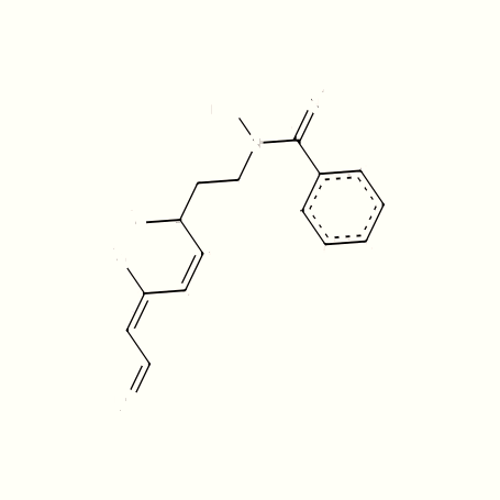 C=C/C=C(O)\C=C/C(C)CCN(C)C(=N)c1ccccc1